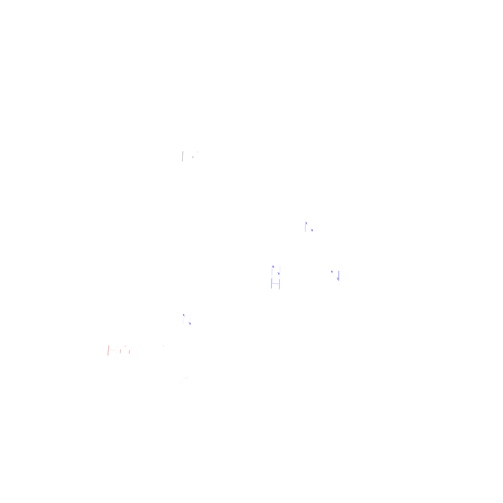 Cc1ccccc1CC1(CNc2ncccn2)CCN(C(=O)O)CC1F